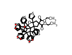 CCOC(=O)C1(C(=O)OCC)CC2(c3ccsc3)OC3(c4ccsc4)C(c4ccsc4)(c4ccsc4)C(c4ccsc4)(c4ccsc4)C(c4ccsc4)(c4ccsc4)C(c4ccsc4)(c4ccsc4)C3(c3ccsc3)C2(c2ccsc2)C1